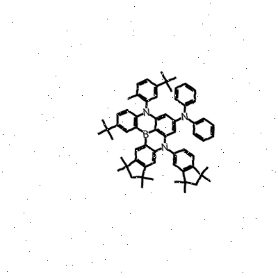 Cc1ccc(C(C)(C)C)cc1N1c2ccc(C(C)(C)C)cc2B2c3cc4c(cc3N(c3ccc5c(c3)C(C)(C)CC5(C)C)c3cc(N(c5ccccc5)c5ccccc5)cc1c32)C(C)(C)CC4(C)C